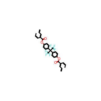 C=C/C=C(\C=C/C)C(=O)Oc1ccc(C(c2ccc(OC(=O)C(/C=C\C)=C/C=C)cc2)(C(F)(F)F)C(F)(F)F)cc1